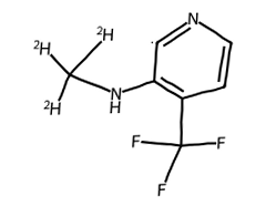 [2H]C([2H])([2H])Nc1[c]nccc1C(F)(F)F